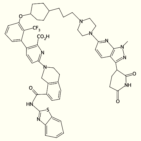 Cn1nc(C2CCC(=O)NC2=O)c2ccc(N3CCN(CCCC4CCC(Oc5cccc(-c6ccc(N7CCc8cccc(C(=O)Nc9nc%10ccccc%10s9)c8C7)nc6C(=O)O)c5C(F)(F)F)CC4)CC3)nc21